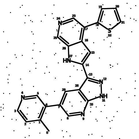 Cc1ccncc1-c1cnc2[nH]nc(-c3cc4c(-c5cccs5)cncc4[nH]3)c2c1